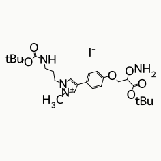 C[n+]1cc(-c2ccc(OCC(ON)C(=O)OC(C)(C)C)cc2)cn1CCCNC(=O)OC(C)(C)C.[I-]